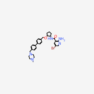 CN1CCN(Cc2ccc(-c3ccc(CO[C@H]4CCC[C@@H]4NC(=O)c4cc(Br)cnc4N)cc3)cc2)CC1